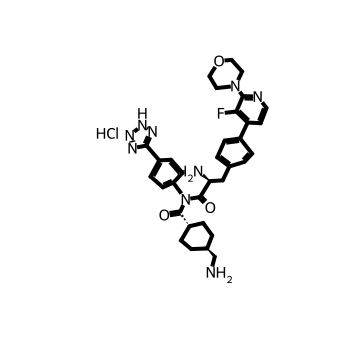 Cl.NC[C@H]1CC[C@H](C(=O)N(C(=O)[C@@H](N)Cc2ccc(-c3ccnc(N4CCOCC4)c3F)cc2)c2ccc(-c3nn[nH]n3)cc2)CC1